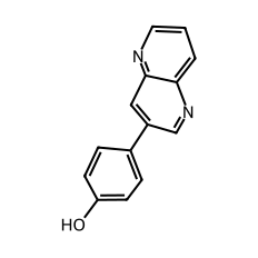 Oc1ccc(-c2cnc3cccnc3c2)cc1